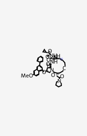 COc1ccc2c(O[C@@H]3C[C@H]4C(=O)N[C@]5(C(=O)NS(=O)(=O)C6CC6)C[C@H]5/C=C\CCCCC[C@H](CC(=O)N5CCCCC5)C(=O)N4C3)cc(-c3ccccc3)cc2c1